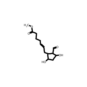 COC(=O)CCCC=CCC1C(O)CC(O)C1C=O